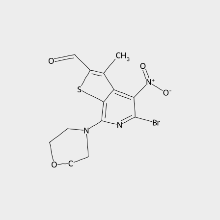 Cc1c(C=O)sc2c(N3CCOCC3)nc(Br)c([N+](=O)[O-])c12